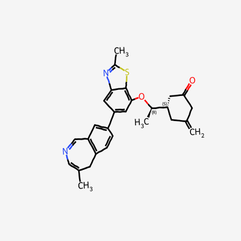 C=C1CC(=O)C[C@@H]([C@@H](C)Oc2cc(-c3ccc4c(c3)C=NC=C(C)C4)cc3nc(C)sc23)C1